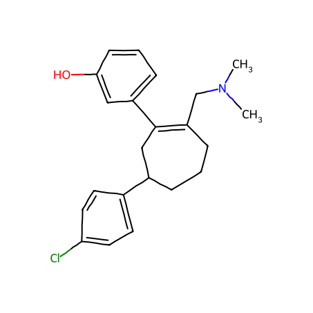 CN(C)CC1=C(c2cccc(O)c2)CC(c2ccc(Cl)cc2)CCC1